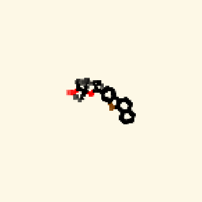 CB(OC(C)(C)C(C)O)c1ccc2c(c1)sc1c3ccccc3ccc21